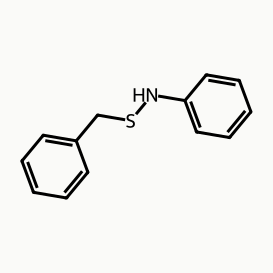 c1ccc(CSNc2ccccc2)cc1